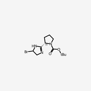 CC(C)(C)OC(=O)N1CCC[C@H]1C1=NCC(Br)N1